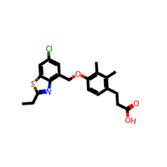 CCc1nc2c(COc3ccc(CCC(=O)O)c(C)c3C)cc(Cl)cc2s1